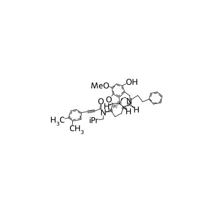 COc1cc(O)c2c3c1O[C@H]1[C@H](N(CC(C)C)C(=O)C#Cc4ccc(C)c(C)c4)CC[C@H]4[C@@H](C2)N(CCc2ccccc2)CC[C@@]341